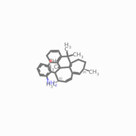 Cc1cccc(N)c1C1[C@@H](C)C=CC2=C[C@H](C)CCC3=C2C1(C)C1=C(C=CCC1)C3(C)C